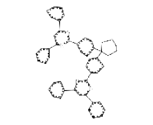 c1ccc(-c2cc(-c3ccccc3)nc(-c3ccc(C4(c5ccc(-c6nc(-c7ccccc7)cc(-c7ccccc7)n6)cc5)CCCCC4)cc3)n2)cc1